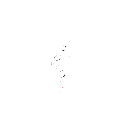 CCCN(CCO)C(=O)C1=Cc2ccc(C3(C(=O)Nc4cnc5c(c4)CN(C(=O)CN)CC5)CC3)cc2N=C(N)C1